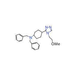 COCCn1cnnc1C1CCC(N(Cc2ccccc2)Cc2ccccc2)CC1